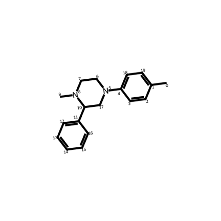 Cc1ccc(N2CCN(C)C(c3ccccc3)C2)cc1